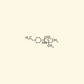 CCC1CCC(C(=O)NC(C)(C)CC)CC1